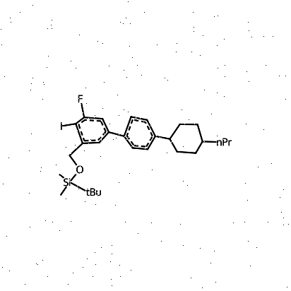 CCCC1CCC(c2ccc(-c3cc(F)c(I)c(CO[Si](C)(C)C(C)(C)C)c3)cc2)CC1